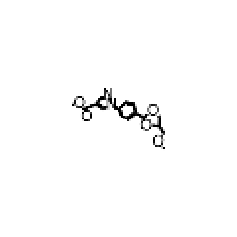 COCC1COC(c2ccc(-n3cc(C(=O)OC)cn3)cc2)O1